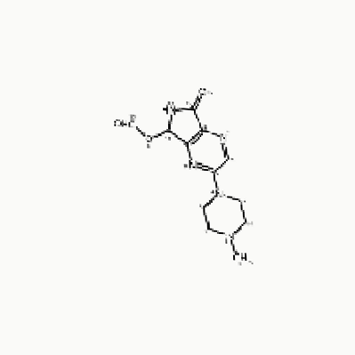 CN1CCN(c2cnc3c(n2)C(OC=O)NC3=O)CC1